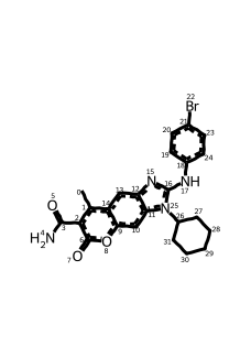 Cc1c(C(N)=O)c(=O)oc2cc3c(cc12)nc(Nc1ccc(Br)cc1)n3C1CCCCC1